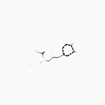 NC(=O)N(C[C@H](N)Cc1ccc(Cl)c(Cl)c1)C(=O)O